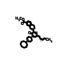 C=C/C=C\C=C1/CN(C2CCN(C3CCCCCCC3)CC2)C(=O)C(N2CCc3ccc(C(=O)OC)cc3C2)=N1